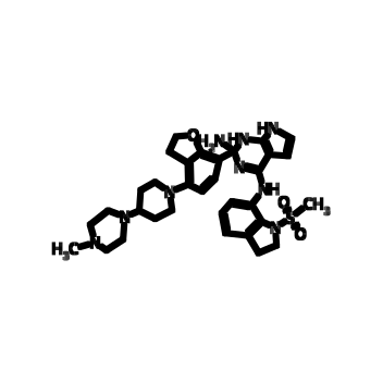 CN1CCN(C2CCN(c3ccc(C4(N)N=C(Nc5cccc6c5N(S(C)(=O)=O)CC6)c5cc[nH]c5N4)c4c3CCO4)CC2)CC1